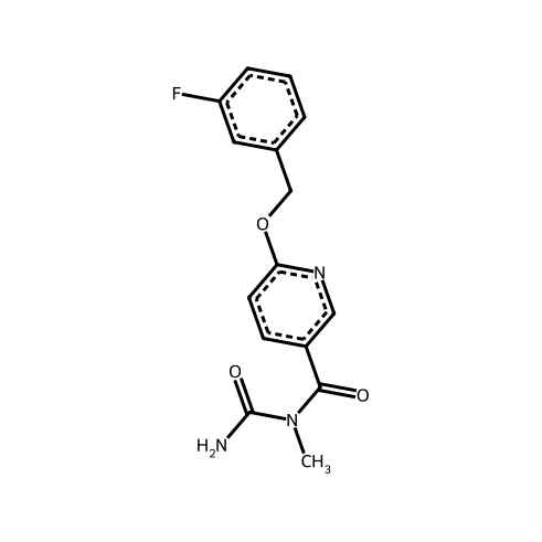 CN(C(N)=O)C(=O)c1ccc(OCc2cccc(F)c2)nc1